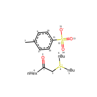 CCCCCCC(=O)C[S+](CCCC)CCCC.Cc1ccc(S(=O)(=O)[O-])cc1